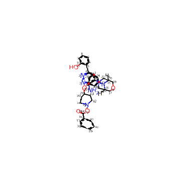 Nc1nnc(-c2ccccc2O)cc1N1C[C@H]2COC[C@@H](C1)N2c1cccc(OC2CCN(OC(=O)c3ccccc3)CC2)c1